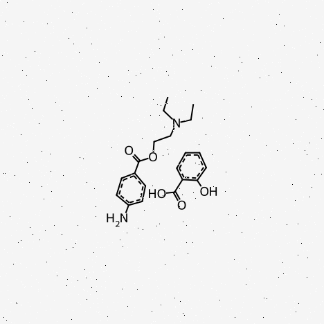 CCN(CC)CCOC(=O)c1ccc(N)cc1.O=C(O)c1ccccc1O